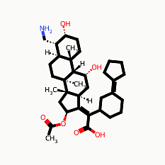 CC(=O)O[C@H]1C[C@@]2(C)[C@@H](C[C@@H](O)[C@H]3[C@@]4(C)CC[C@@H](O)[C@@H](CN)[C@@H]4CC[C@@]32C)/C1=C(/C(=O)O)C1CCCC(=C2CCCC2)C1